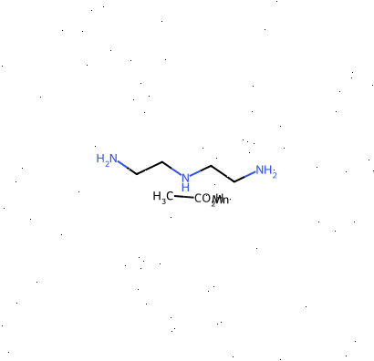 CC(=O)O.NCCNCCN.[Mn]